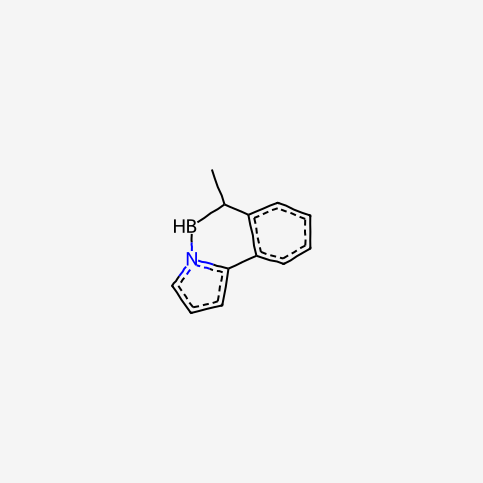 CC1Bn2cccc2-c2ccccc21